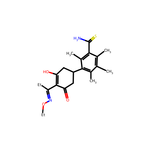 CCON=C(CC)C1=C(O)CC(c2c(C)c(C)c(C)c(C(N)=S)c2C)CC1=O